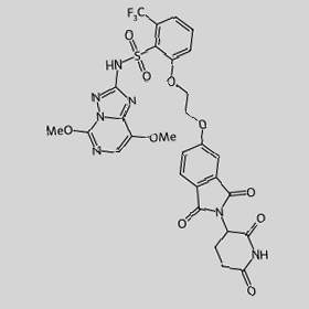 COc1cnc(OC)n2nc(NS(=O)(=O)c3c(OCCOc4ccc5c(c4)C(=O)N(C4CCC(=O)NC4=O)C5=O)cccc3C(F)(F)F)nc12